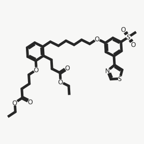 CCOC(=O)CCCOc1cccc(CCCCCCOc2cc(-c3cscn3)cc(S(C)(=O)=O)c2)c1CCC(=O)OCC